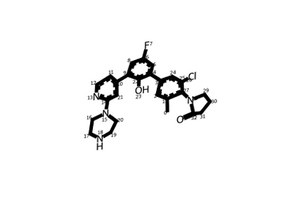 Cc1cc(-c2cc(F)cc(-c3ccnc(N4CCNCC4)c3)c2O)cc(Cl)c1N1CCCC1=O